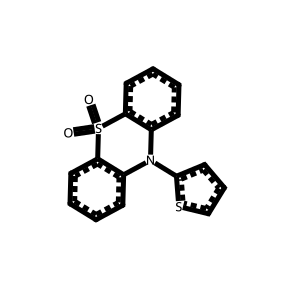 O=S1(=O)c2ccccc2N(c2cccs2)c2ccccc21